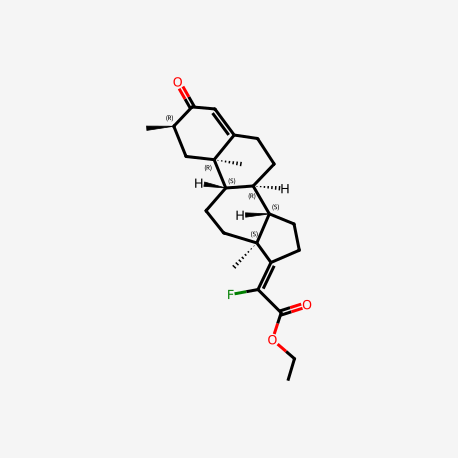 CCOC(=O)C(F)=C1CC[C@H]2[C@@H]3CCC4=CC(=O)[C@H](C)C[C@]4(C)[C@H]3CC[C@]12C